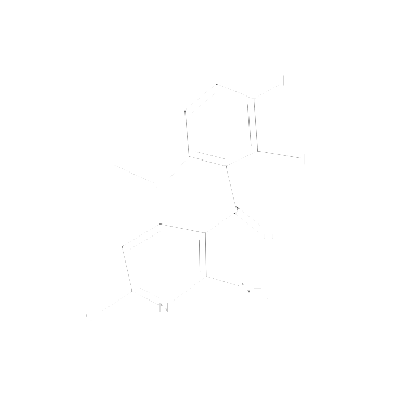 COc1ccc(F)c(F)c1C(=O)c1ccc(Cl)nc1N